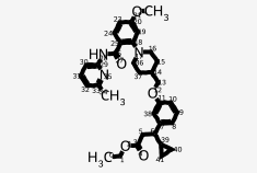 CCOC(=O)CC(c1cccc(OCC2CCN(c3cc(OC)ccc3C(=O)Nc3cccc(C)n3)CC2)c1)C1CC1